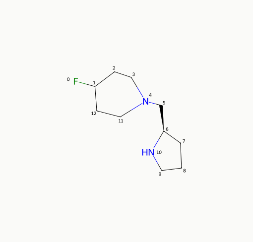 FC1CCN(C[C@H]2CCCN2)CC1